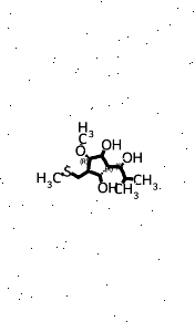 CO[C@@H]1C(CSC)C(O)[C@@H]([C@@H](O)C(C)C)C1O